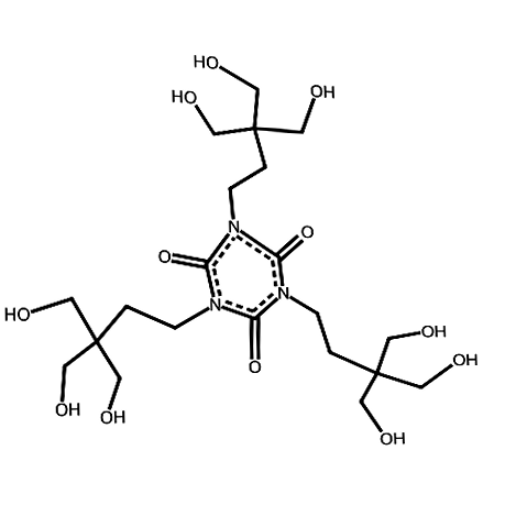 O=c1n(CCC(CO)(CO)CO)c(=O)n(CCC(CO)(CO)CO)c(=O)n1CCC(CO)(CO)CO